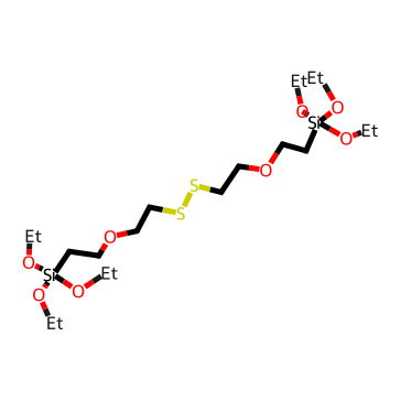 CCO[Si](CCOCCSSCCOCC[Si](OCC)(OCC)OCC)(OCC)OCC